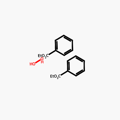 CCOC(=O)c1ccccc1.CCOC(=O)c1ccccc1.OO